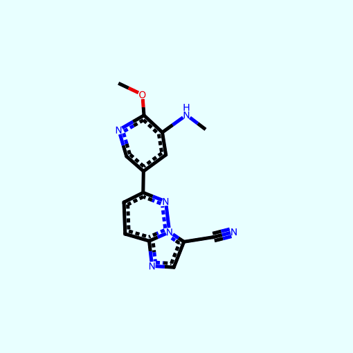 CNc1cc(-c2ccc3ncc(C#N)n3n2)cnc1OC